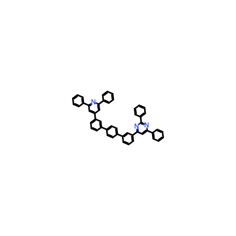 c1ccc(-c2cc(-c3cccc(-c4ccc(-c5cccc(-c6cc(-c7ccccc7)nc(-c7ccccc7)n6)c5)cc4)c3)cc(-c3ccccc3)n2)cc1